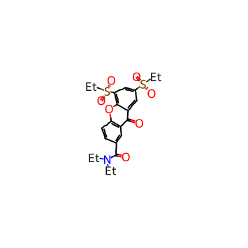 CCN(CC)C(=O)c1ccc2oc3c(S(=O)(=O)CC)cc(S(=O)(=O)CC)cc3c(=O)c2c1